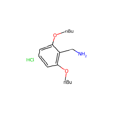 CCCCOc1cccc(OCCCC)c1CN.Cl